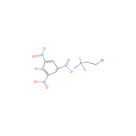 C[N+](C)(C)CCBr.O=[N+]([O-])c1cc([N+](=O)[O-])c([O-])c([N+](=O)[O-])c1